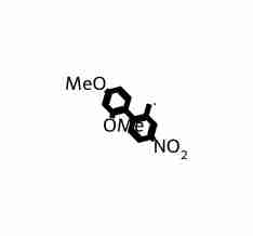 [CH2]c1cc([N+](=O)[O-])ccc1-c1ccc(OC)cc1OC